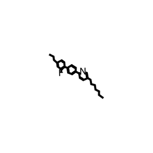 CCCCCCCc1ccc(-c2ccc(-c3ccc(CCC)cc3F)cc2)nc1